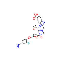 N#Cc1ccc(OCc2ccc(C(=O)N3CCN(Cc4nc5ccc(C(=O)O)cc5n4C[C@@H]4CCO4)CC3)o2)c(F)c1